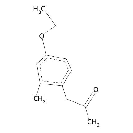 CCOc1ccc(CC(C)=O)c(C)c1